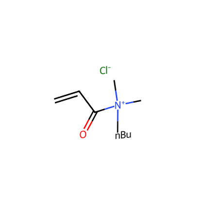 C=CC(=O)[N+](C)(C)CCCC.[Cl-]